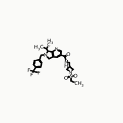 CCS(=O)(=O)N1CC(CNC(=O)c2cnc3c(c2)CN(Cc2ccc(C(F)(F)F)cc2)C3C(C)C)C1